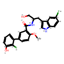 CCCOc1ccc(-c2cccc(O)c2F)cc1C(=O)NC(CO)Cc1c[nH]c2ccc(F)cc12